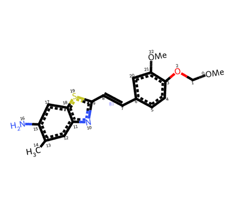 COCOc1ccc(/C=C/c2nc3cc(C)c(N)cc3s2)cc1OC